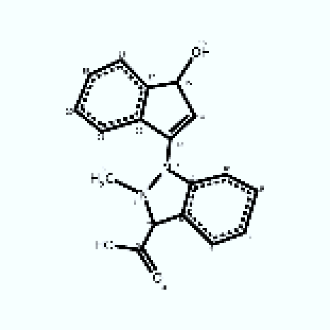 CN1C(C(=O)O)c2ccccc2N1C1=CC(O)c2ccccc21